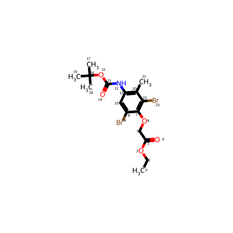 CCOC(=O)COc1c(Br)cc(NC(=O)OC(C)(C)C)c(C)c1Br